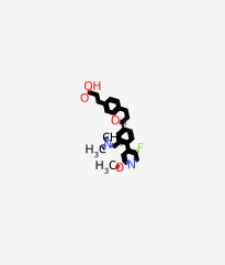 COc1cc(-c2ccc([C@@H]3CCc4ccc(CCC(=O)O)cc4O3)cc2CN(C)C)c(F)cn1